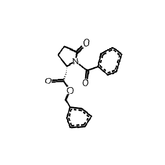 O=C(OCc1ccccc1)[C@@H]1CCC(=O)N1C(=O)c1ccccc1